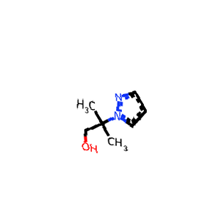 CC(C)(CO)n1cccn1